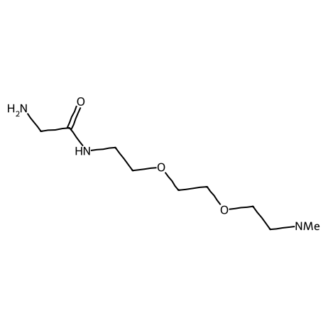 CNCCOCCOCCNC(=O)CN